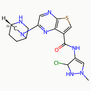 CN1C=C(NC(=O)c2csc3ncc(N4C[C@@H]5CCC4CN5)nc23)C(Cl)N1